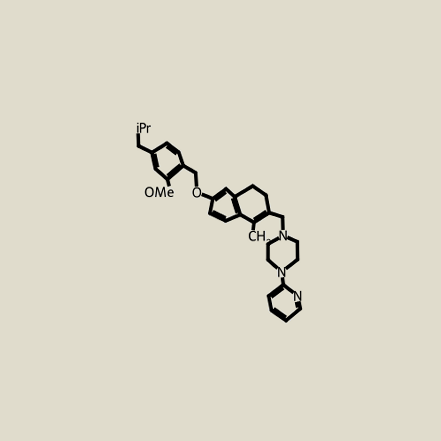 COc1cc(CC(C)C)ccc1COc1ccc2c(c1)CCC(CN1CCN(c3ccccn3)CC1)=C2C